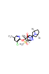 CC(C)(Oc1ncc(C(F)(F)F)cc1Cl)C(=O)N[C@H]1C[C@H]2CC[C@@H](C1)N2c1ccc(S(C)(=O)=O)cn1